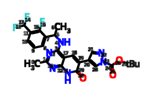 Cc1nc(NC(C)c2cccc(C(F)F)c2F)c2cc(-c3cnn(C(=O)OC(C)(C)C)c3)c(=O)[nH]c2n1